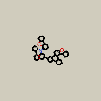 c1ccc(-c2ccccc2N(c2cccc(-c3ccc4c5ccccc5c5c(ccc6oc7ccccc7c65)c4c3)c2)c2cccc3c2oc2ccccc23)cc1